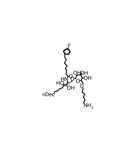 CCCCCCCCCCCCCC[C@@H](O)[C@@H](O)[C@H](COC1OC(COCCCCCCN)C(O)C(O)C1O)NC(=O)CCCCCCCc1ccc(F)cc1